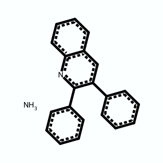 N.c1ccc(-c2cc3ccccc3nc2-c2ccccc2)cc1